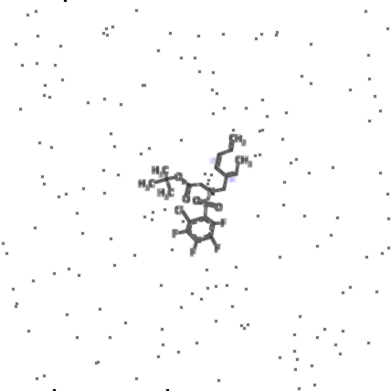 C=C/C=C\C(=C/C)CN(CC(=O)OC(C)(C)C)S(=O)(=O)c1c(F)c(F)c(F)c(F)c1Cl